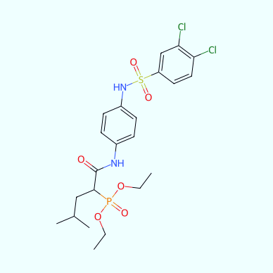 CCOP(=O)(OCC)C(CC(C)C)C(=O)Nc1ccc(NS(=O)(=O)c2ccc(Cl)c(Cl)c2)cc1